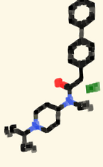 CC(C)N1CCC(N(C)C(=O)Cc2ccc(-c3ccccc3)cc2)CC1.Cl